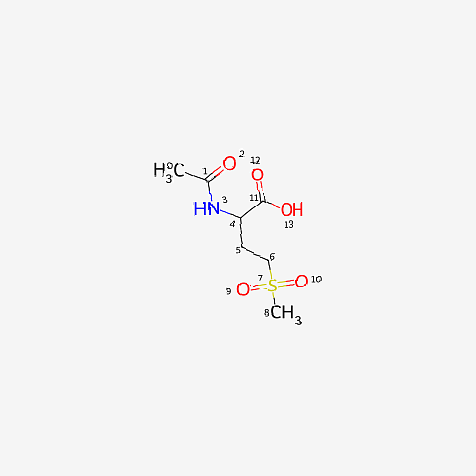 CC(=O)NC(CCS(C)(=O)=O)C(=O)O